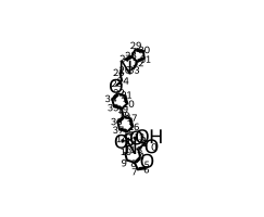 O=C(O)C1c2occc2CCN1S(=O)(=O)c1ccc(-c2ccc(OCCN3C=C4C=CC=C4C3)cc2)cc1